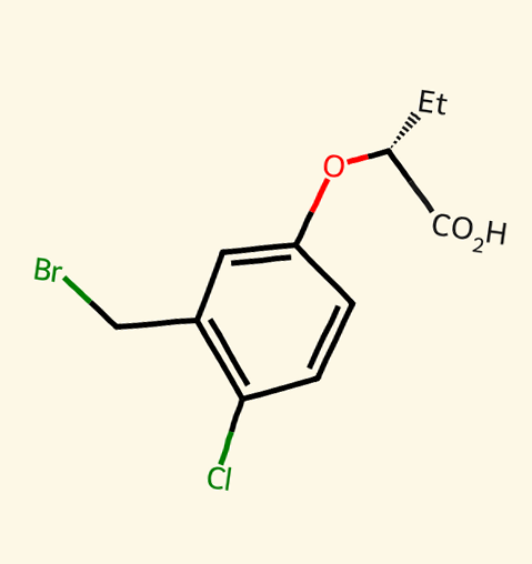 CC[C@@H](Oc1ccc(Cl)c(CBr)c1)C(=O)O